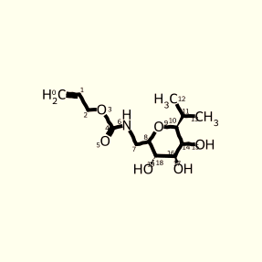 C=CCOC(=O)NCC1O[C@@H](C(C)C)C(O)[C@@H](O)[C@@H]1O